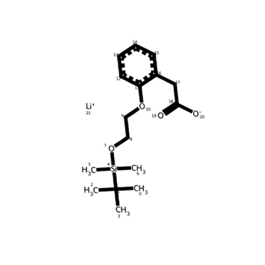 CC(C)(C)[Si](C)(C)OCCOc1ccccc1CC(=O)[O-].[Li+]